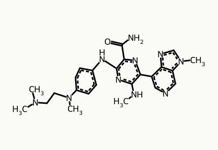 CNc1nc(Nc2ccc(N(C)CCN(C)C)cc2)c(C(N)=O)nc1-c1cncc2c1ncn2C